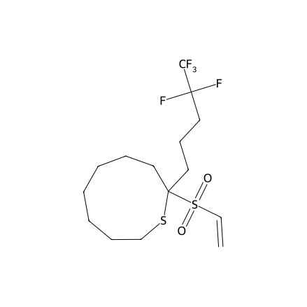 C=CS(=O)(=O)C1(CCCC(F)(F)C(F)(F)F)CCCCCCCS1